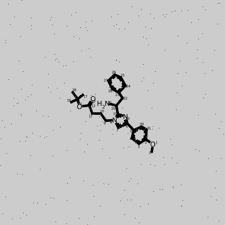 COc1ccc(-c2cn(CCCC(=O)OC(C)(C)C)c(C(N)Cc3ccccc3)n2)cc1